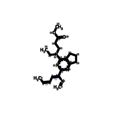 C=N/C(=C\C=C/C)c1nc2c(c(N(CC)CCC(=O)OC)n1)CCC2